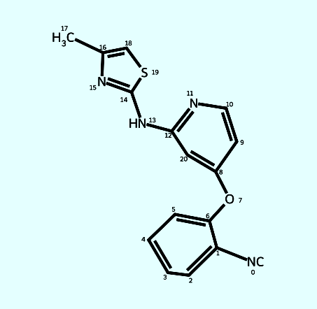 [C-]#[N+]c1ccccc1Oc1ccnc(Nc2nc(C)cs2)c1